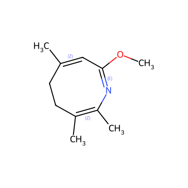 COC1=N/C(C)=C(/C)CC/C(C)=C\1